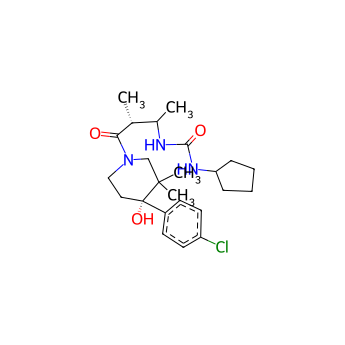 CC(NC(=O)NC1CCCC1)[C@@H](C)C(=O)N1CC[C@](O)(c2ccc(Cl)cc2)C(C)(C)C1